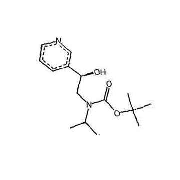 [CH2]C(C)N(C[C@H](O)c1cccnc1)C(=O)OC(C)(C)C